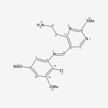 COc1cc(N=Cc2cnc(SC)nc2CCN)c(Cl)c(OC)c1